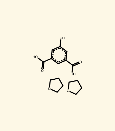 C1CCOC1.C1CCOC1.O=C(O)c1cc(O)cc(C(=O)O)c1